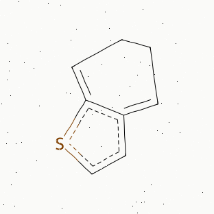 C1=c2ccsc2=CCC1